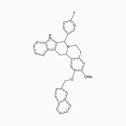 COc1cc2c(cc1OCc1ccc3ccccc3c1)C1Cc3c([nH]c4ccccc34)C(c3ccc(F)cc3)N1CC2